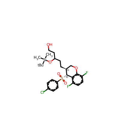 CC(C)(C)[Si](C)(C)OC(CCO)CC[C@H]1COc2c(F)ccc(F)c2[C@@H]1S(=O)(=O)c1ccc(Cl)cc1